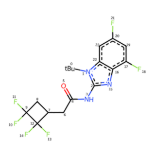 CC(C)(C)n1c(NC(=O)CC2CC(F)(F)C2(F)F)nc2c(F)cc(F)cc21